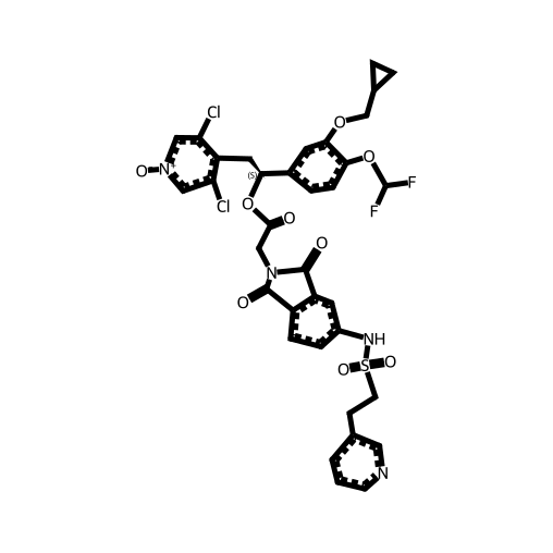 O=C(CN1C(=O)c2ccc(NS(=O)(=O)CCc3cccnc3)cc2C1=O)O[C@@H](Cc1c(Cl)c[n+]([O-])cc1Cl)c1ccc(OC(F)F)c(OCC2CC2)c1